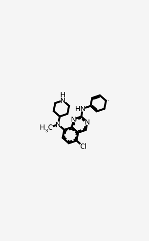 CN(c1ccc(Cl)c2cnc(NC3=CC[CH]C=C3)nc12)C1CCNCC1